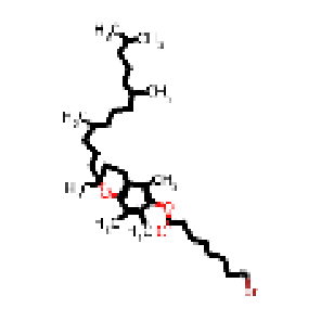 Cc1c(C)c2c(c(C)c1OC(=O)CCCCCCCBr)CCC(C)(CCCC(C)CCCC(C)CCCC(C)C)O2